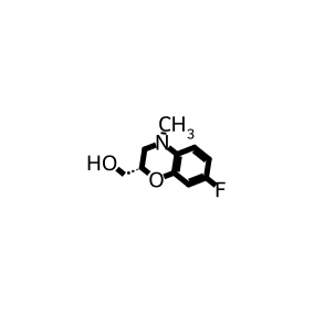 CN1C[C@@H](CO)Oc2cc(F)ccc21